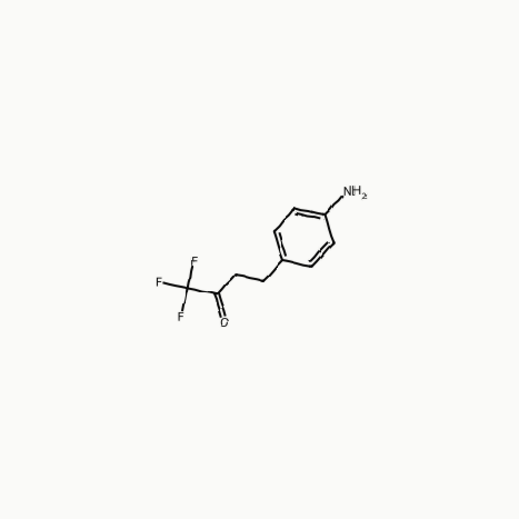 Nc1ccc(CCC(=O)C(F)(F)F)cc1